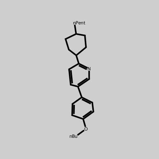 CCCCCC1CCC(c2ccc(-c3ccc(OCCCC)cc3)cn2)CC1